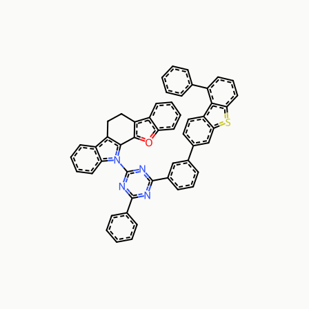 c1ccc(-c2nc(-c3cccc(-c4ccc5c(c4)sc4cccc(-c6ccccc6)c45)c3)nc(-n3c4c(c5ccccc53)CCc3c-4oc4ccccc34)n2)cc1